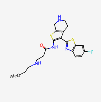 COCCNCCC(=O)Nc1sc2c(c1-c1nc3ccc(F)cc3s1)CCNC2